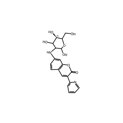 O=c1oc2cc(NC3C(O)OC(CO)[C@H](O)C3O)ccc2cc1-c1ccccn1